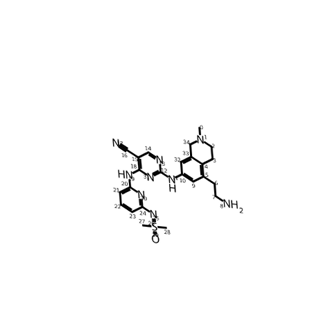 CN1CCc2c(CCN)cc(Nc3ncc(C#N)c(Nc4cccc(N=S(C)(C)=O)n4)n3)cc2C1